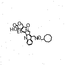 CC[C@@]1(O)C(=O)OCc2c1cc1n(c2=O)Cc2c-1nc1ccccc1c2C=NOCC1CCCCCCC1